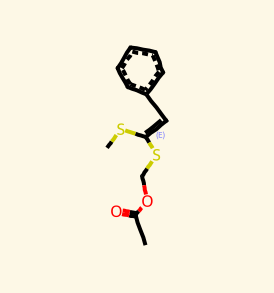 CS/C(=C\c1ccccc1)SCOC(C)=O